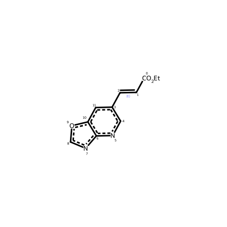 CCOC(=O)/C=C/c1cnc2ncoc2c1